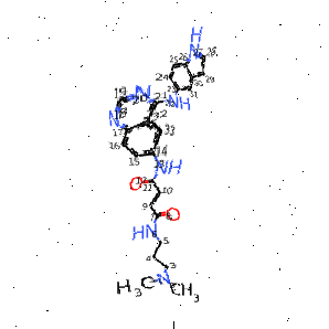 CN(C)CCCNC(=O)/C=C/C(=O)Nc1ccc2ncnc(Nc3ccc4[nH]ccc4c3)c2c1